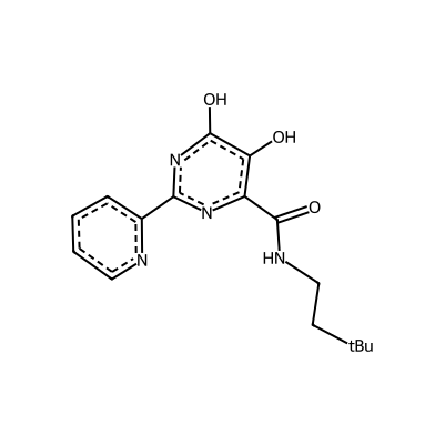 CC(C)(C)CCNC(=O)c1nc(-c2ccccn2)nc(O)c1O